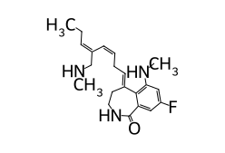 CC/C=C(\C=C/C/C=C1\CCNC(=O)c2cc(F)cc(NC)c21)CNC